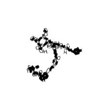 C#C[C@H]1CC(F)(F)CN1C(=O)CNC(=O)c1ccnc2ccc(OCCCN3CCN(C(=O)CCCCCNC(=O)C(CCOCCNC(=O)CCCc4ccc(C)cc4)NC(=O)CN4CCN(COC=O)CCN(COC=O)CCN(CC(=O)O)CC4)CC3)cc12